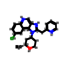 C[C@@H]1CC(n2c(Cc3ccccn3)nc3cnc4ccc(Cl)cc4c32)CCO1